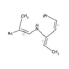 C/C=C(\C=C/C(C)C)N/C=C(\C)C(C)=O